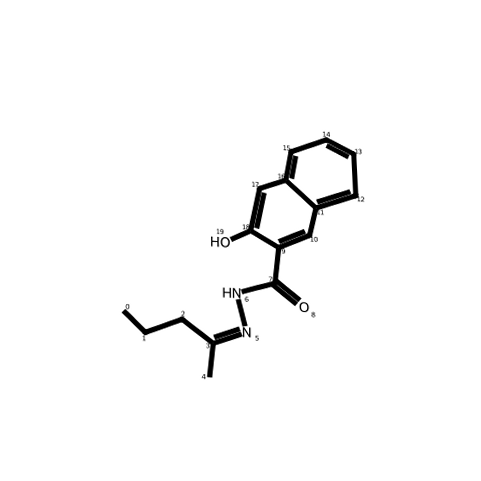 CCCC(C)=NNC(=O)c1cc2ccccc2cc1O